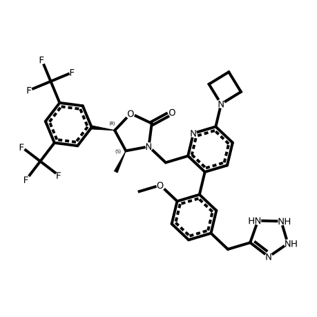 COc1ccc(CC2=NNNN2)cc1-c1ccc(N2CCC2)nc1CN1C(=O)O[C@H](c2cc(C(F)(F)F)cc(C(F)(F)F)c2)[C@@H]1C